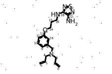 C=CCN(CC=C)Cc1cccc(OCCCNc2nsnc2N)c1